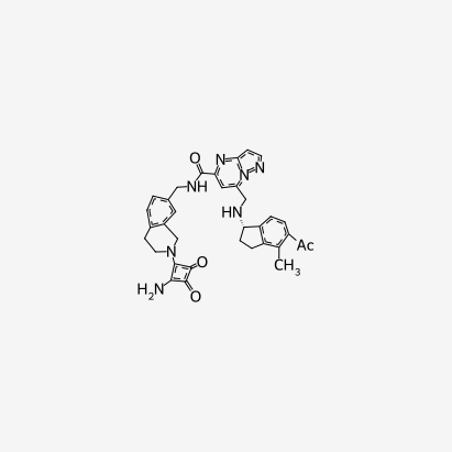 CC(=O)c1ccc2c(c1C)CC[C@@H]2NCc1cc(C(=O)NCc2ccc3c(c2)CN(c2c(N)c(=O)c2=O)CC3)nc2ccnn12